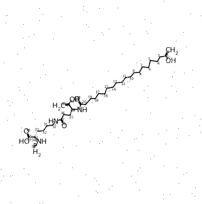 C=C(O)CCCCCCCCCCCCCCCCCCC(=O)N[C@@H](CCC(=O)NCCCC[C@H](NP)C(=O)O)C(=C)O